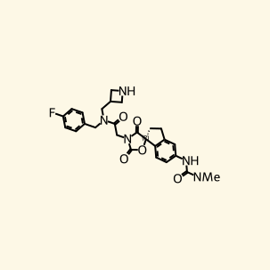 CNC(=O)Nc1ccc2c(c1)CC[C@@]21OC(=O)N(CC(=O)N(Cc2ccc(F)cc2)CC2CNC2)C1=O